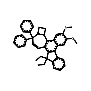 CCC1(CC)c2ccccc2-c2c1c1c(c3cc(SC)c(SC)cc23)C2CCC2C(c2ccccc2)(c2ccccc2)C=C1